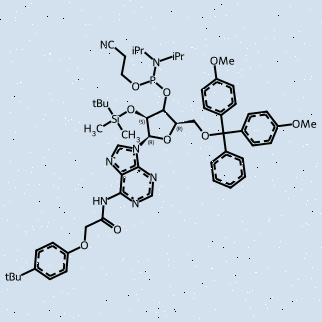 COc1ccc(C(OC[C@H]2O[C@@H](n3cnc4c(NC(=O)COc5ccc(C(C)(C)C)cc5)ncnc43)[C@@H](O[Si](C)(C)C(C)(C)C)C2OP(OCCC#N)N(C(C)C)C(C)C)(c2ccccc2)c2ccc(OC)cc2)cc1